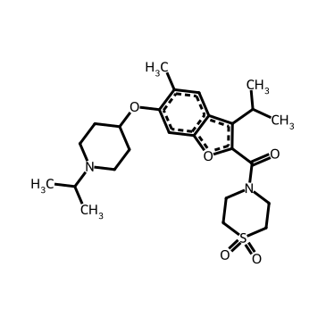 Cc1cc2c(C(C)C)c(C(=O)N3CCS(=O)(=O)CC3)oc2cc1OC1CCN(C(C)C)CC1